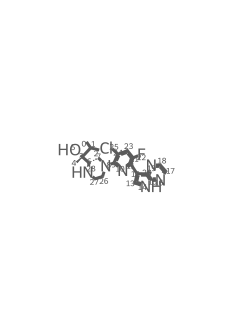 CC(C)[C@@](C)(O)[C@@H]1CN(c2nc(-c3c[nH]c4nccnc34)c(F)cc2Cl)CCN1